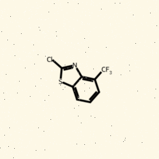 FC(F)(F)c1cccc2sc(Cl)nc12